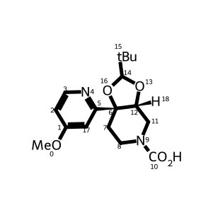 COc1ccnc([C@]23CCN(C(=O)O)C[C@H]2OC(C(C)(C)C)O3)c1